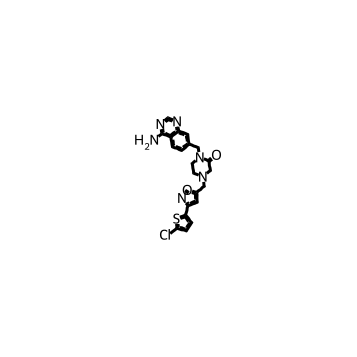 Nc1ncnc2cc(CN3CCN(Cc4cc(-c5ccc(Cl)s5)no4)CC3=O)ccc12